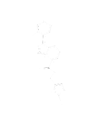 O=C(NCc1ccc(Cl)s1)c1cccc2c(-c3ccncc3F)n[nH]c12